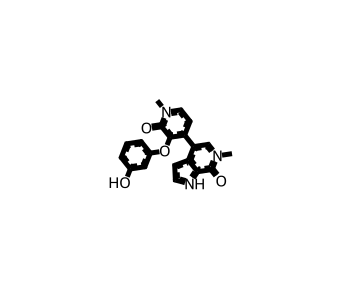 Cn1ccc(-c2cn(C)c(=O)c3[nH]ccc23)c(Oc2cccc(O)c2)c1=O